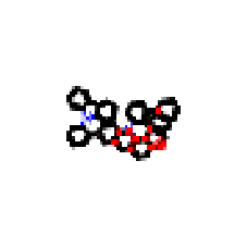 c1ccc(-c2ccccc2-c2c(-c3ccccc3)cccc2N(c2ccc(-c3ccccc3-n3c4ccccc4c4ccccc43)cc2)c2cccc3oc4ccccc4c23)cc1